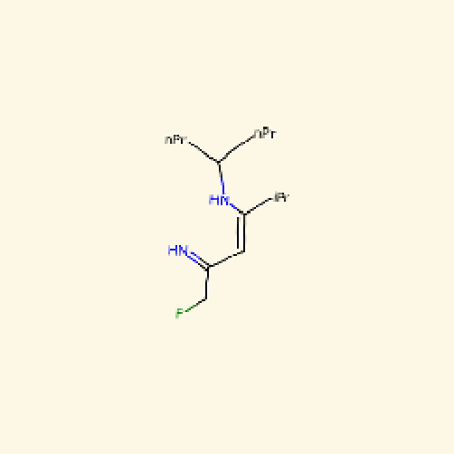 CCCC(CCC)N/C(=C\C(=N)CF)C(C)C